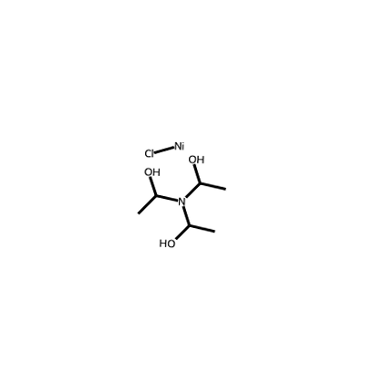 CC(O)N(C(C)O)C(C)O.[Cl][Ni]